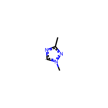 Cc1n[c]n(C)n1